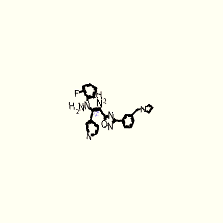 N/C(=C(/c1ccncc1)N(N)c1ccccc1F)c1nc(-c2cccc(CN3CCC3)c2)no1